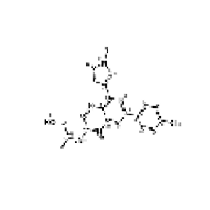 C[C@@H](CO)Nc1cnc2c(-c3cnn(C)c3)nc(-c3ccc(Cl)cc3)cc2n1